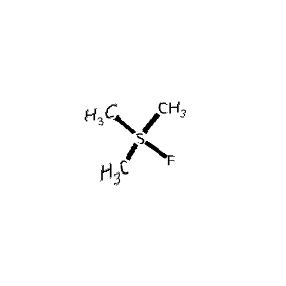 CS(C)(C)F